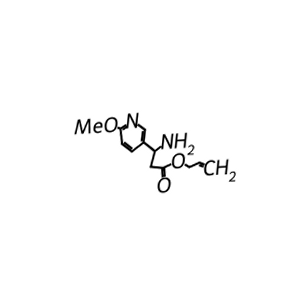 C=CCOC(=O)CC(N)c1ccc(OC)nc1